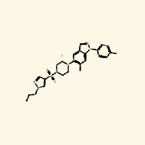 CCCn1cc(S(=O)(=O)N2CCN(c3cc4cnn(-c5ccc(F)cc5)c4cc3C)[C@@H](C)C2)cn1